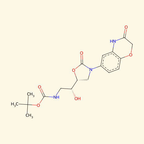 CC(C)(C)OC(=O)NC[C@@H](O)[C@H]1CN(c2ccc3c(c2)NC(=O)CO3)C(=O)O1